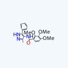 COc1ccc(C(=O)Nc2c(C)n[nH]c2-c2ccccc2)c(OC)c1OC